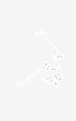 CCCCCCCCCCCCCCCCCCOP(=O)(O)OC[C@H]1C[C@@H](n2cnc3c(=O)[nH]c(N)nc32)[C@H]1COP(=O)(O)OCCCCCCCCCCCCCCCCCC